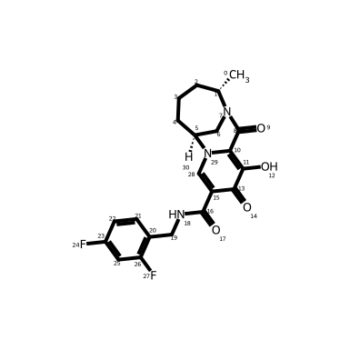 C[C@H]1CCC[C@H]2CN1C(=O)c1c(O)c(=O)c(C(=O)NCc3ccc(F)cc3F)cn12